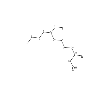 CCCCC(CC)CCCCC(C)CO